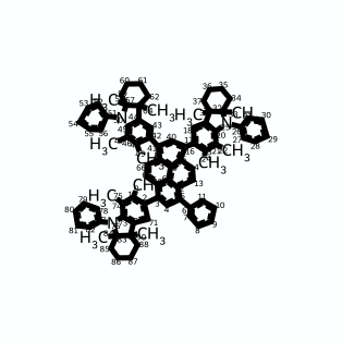 Cc1c(-c2cc(-c3ccccc3)c3ccc4c(-c5cc6c(c(C)c5C)N(c5ccccc5)C5(C)CCCCC65C)cc(-c5cc6c(c(C)c5C)N(c5ccccc5)C5(C)CCCCC65C)c5ccc2c3c45)cc2c(c1C)N(c1ccccc1)C1(C)CCCCC21C